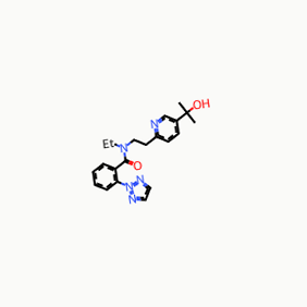 CCN(CCc1ccc(C(C)(C)O)cn1)C(=O)c1ccccc1-n1nccn1